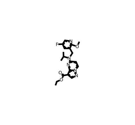 CCOC(=O)c1cnn2ccc(N(Cc3cc(F)cnc3OC)C(C)C)nc12